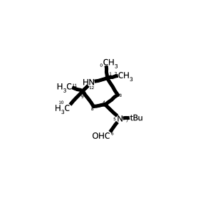 CC1(C)CC(N(C=O)C(C)(C)C)CC(C)(C)N1